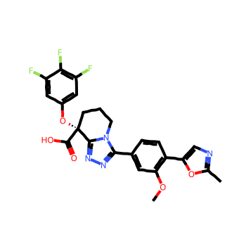 COc1cc(-c2nnc3n2CCC[C@]3(Oc2cc(F)c(F)c(F)c2)C(=O)O)ccc1-c1cnc(C)o1